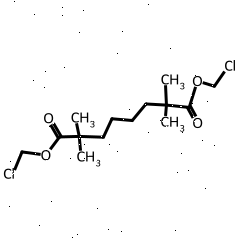 CC(C)(CCCCC(C)(C)C(=O)OCCl)C(=O)OCCl